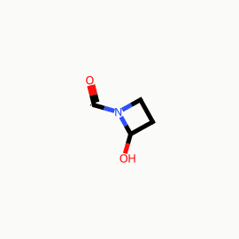 O=[C]N1CCC1O